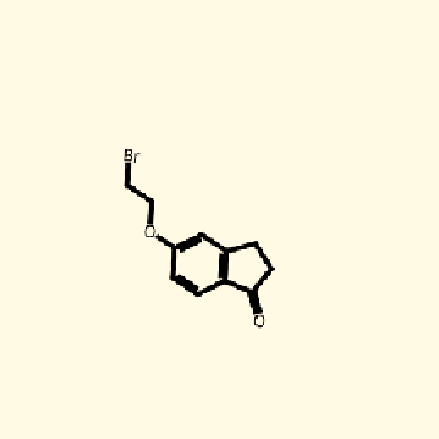 O=C1CCc2cc(OCCBr)ccc21